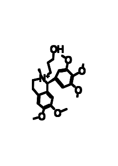 COc1cc2c(cc1OC)[C@H](c1cc(OC)c(OC)c(OC)c1)[N@@+](C)(CCCO)CC2